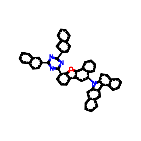 c1ccc2cc(-c3nc(-c4ccc5ccccc5c4)nc(-c4cccc5c4oc4c6ccccc6c(-n6c7cc8ccccc8cc7c7c8ccccc8ccc76)cc54)n3)ccc2c1